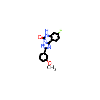 COc1cccc(-c2nc3c4ccc(F)cc4[nH]c(=O)n3n2)c1